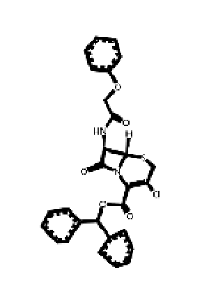 O=C(COc1ccccc1)N[C@@H]1C(=O)N2C(C(=O)OC(c3ccccc3)c3ccccc3)=C(Cl)CS[C@@H]12